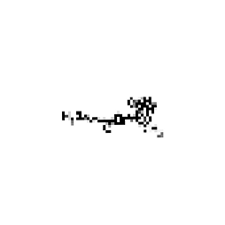 CCCCCCCC(=O)c1ccc(CCC(CC)(COC(C)=O)NC(C)=O)cc1